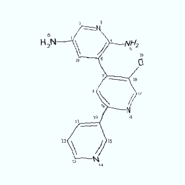 Nc1cnc(N)c(-c2cc(-c3cccnc3)ncc2Cl)c1